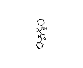 O=C(NC1CCCCC1)c1csc(-c2ccccc2)n1